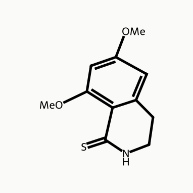 COc1cc2c(c(OC)c1)C(=S)NCC2